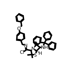 CC1(C)S[C@@H]2C(NC(c3ccccc3)(c3ccccc3)c3ccccc3)C(=O)N2C1C(Cl)=NCc1ccc(OCc2ccccc2)cc1